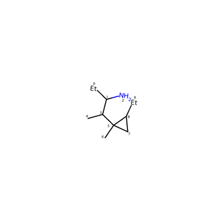 CCC(N)C(C)C1(C)CC1CC